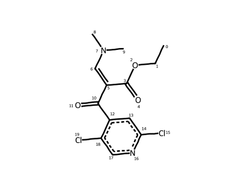 CCOC(=O)C(=CN(C)C)C(=O)c1cc(Cl)ncc1Cl